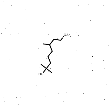 CC(=O)OCCC(C)CCCC(C)(C)O